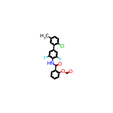 Cc1ccc(Cl)c(-c2cc(F)c(NC(=O)c3ccccc3OC=O)c(F)c2)c1